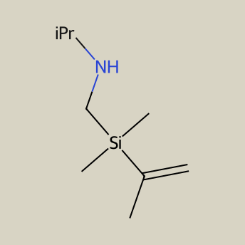 C=C(C)[Si](C)(C)CNC(C)C